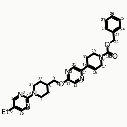 CCc1cnc(N2CCC(COc3cnc(C4=CCN(C(=O)OCc5ccccc5)CC4)cn3)CC2)nc1